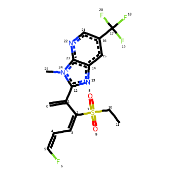 C=C(/C(=C\C=C/F)S(=O)(=O)CC)c1nc2cc(C(F)(F)F)cnc2n1C